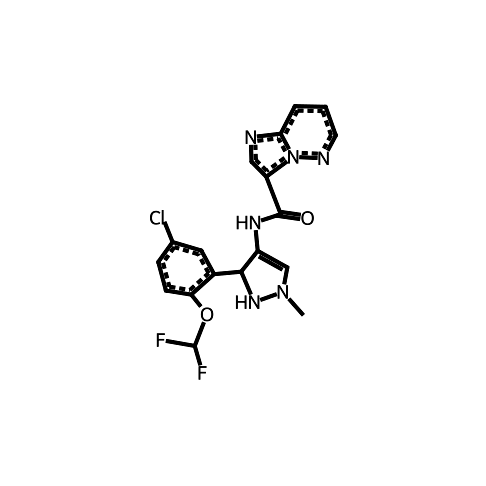 CN1C=C(NC(=O)c2cnc3cccnn23)C(c2cc(Cl)ccc2OC(F)F)N1